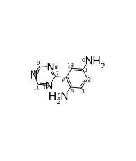 Nc1ccc(N)c(-c2ncncn2)c1